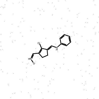 [O-]/[NH+]=C\C1=C(Cl)C(=C/Nc2ccccc2)/CC1